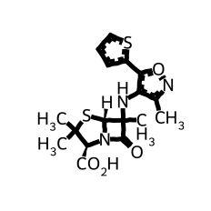 Cc1noc(-c2cccs2)c1NC1(C)C(=O)N2[C@@H](C(=O)O)C(C)(C)S[C@@H]21